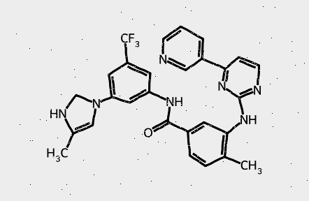 CC1=CN(c2cc(NC(=O)c3ccc(C)c(Nc4nccc(-c5cccnc5)n4)c3)cc(C(F)(F)F)c2)CN1